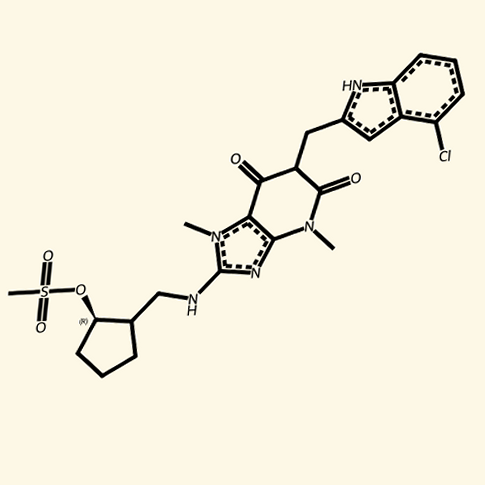 CN1C(=O)C(Cc2cc3c(Cl)cccc3[nH]2)C(=O)c2c1nc(NCC1CCC[C@H]1OS(C)(=O)=O)n2C